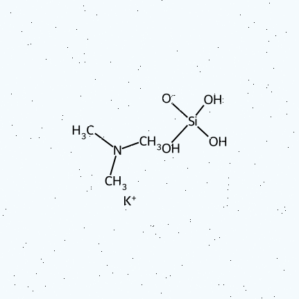 CN(C)C.[K+].[O-][Si](O)(O)O